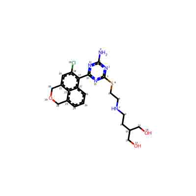 Nc1nc(SCCNCCC(CO)CO)nc(-c2c(Cl)cc3c4c(cccc24)COC3)n1